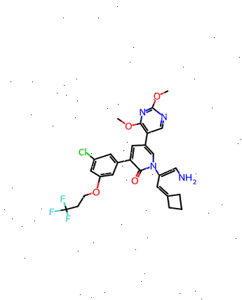 COc1ncc(-c2cc(-c3cc(Cl)cc(OCCC(F)(F)F)c3)c(=O)n(/C(C=C3CCC3)=C/N)c2)c(OC)n1